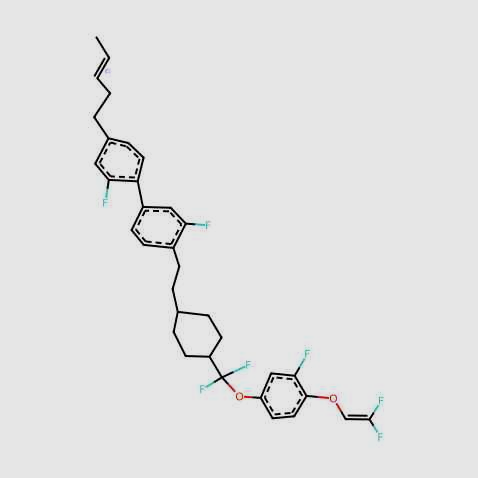 C/C=C/CCc1ccc(-c2ccc(CCC3CCC(C(F)(F)Oc4ccc(OC=C(F)F)c(F)c4)CC3)c(F)c2)c(F)c1